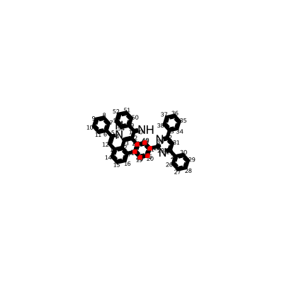 N=C(/C(=C1\NC(c2ccccc2)=Cc2cccc(-c3ccc(-c4nc(-c5ccccc5)cc(-c5ccccc5)n4)cc3)c21)c1ccccc1)c1ccccc1